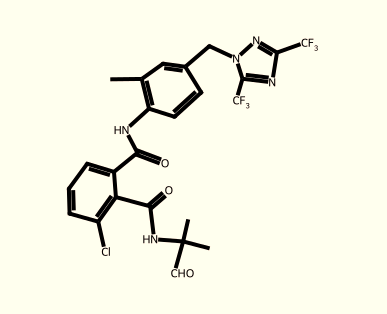 Cc1cc(Cn2nc(C(F)(F)F)nc2C(F)(F)F)ccc1NC(=O)c1cccc(Cl)c1C(=O)NC(C)(C)C=O